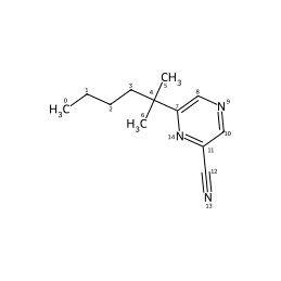 CCCCC(C)(C)c1cncc(C#N)n1